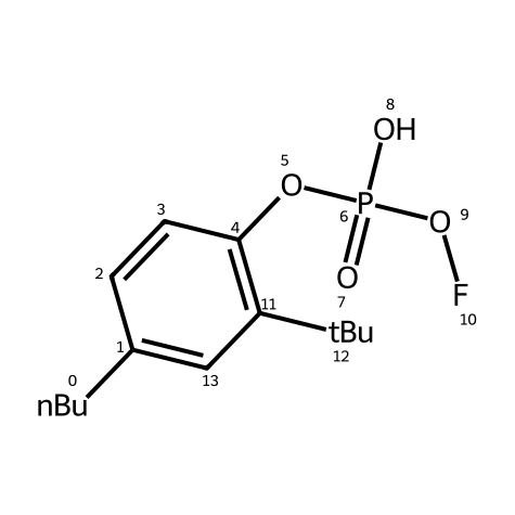 CCCCc1ccc(OP(=O)(O)OF)c(C(C)(C)C)c1